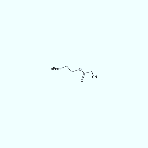 CCCCCCCOC(=O)CC#N